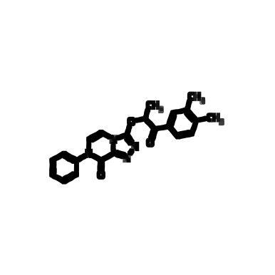 Cc1ccc(C(=O)C(C)Oc2nnc3c(=O)n(-c4ccccc4)ccn23)cc1C